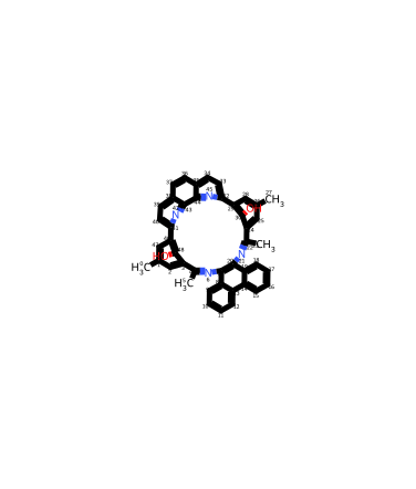 Cc1cc2c(C)nc3c4ccccc4c4ccccc4c3nc(C)c3cc(C)cc(c3O)c3ccc4ccc5ccc(nc5c4n3)c(c1)c2O